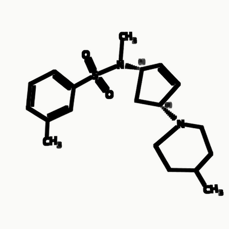 Cc1cccc(S(=O)(=O)N(C)[C@@H]2C=C[C@H](N3CCC(C)CC3)C2)c1